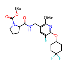 COc1nc(OC2CCC(F)(F)CC2)c(F)cc1CNC(=O)C1CCCN1C(=O)OC(C)(C)C